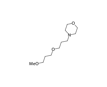 COCCCOCCCN1CCOCC1